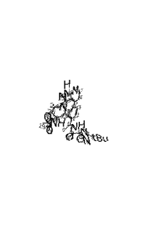 CC(NC(=O)c1nc(C(C)(C)C)no1)c1ccc(-c2ccnc3[nH]nc(N4CCC(NS(C)(=O)=O)CC4)c23)cc1